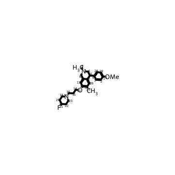 COc1ccc(C2CN(C)Cc3cc(OCCCN4CCC(F)CC4)c(C)cc32)cc1